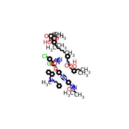 CC(C)Cc1cccc(COC(=O)/C=C/c2ccccc2)c1O.CCC(C)n1ncn(-c2ccc(N3CCN(c4ccc(OC[C@H]5CO[C@](Cn6cncn6)(c6ccc(Cl)cc6Cl)O5)cc4)CC3)cc2)c1=O.CCCCCCC(C)(C)c1cc(O)c2c(c1)OC(C)(C)[C@@H]1CCC(=O)C[C@@H]21.CN(C/C=C/c1ccccc1)Cc1cccc2ccccc12